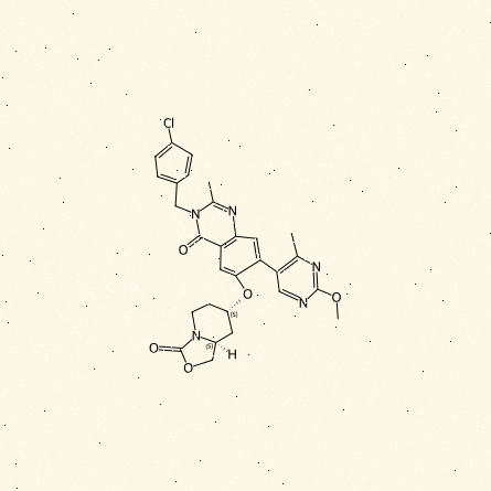 COc1ncc(-c2cc3nc(C)n(Cc4ccc(Cl)cc4)c(=O)c3cc2O[C@H]2CCN3C(=O)OC[C@@H]3C2)c(C)n1